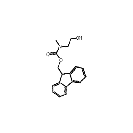 CN(CCO)C(=O)OCC1c2ccccc2-c2ccccc21